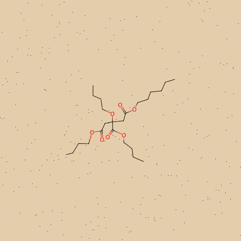 CCCCCCOC(=O)CC(CC(=O)OCCCC)(OCCCC)C(=O)OCCCC